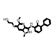 COc1nc2c(Nc3cccc(-c4ccccc4)c3Cl)[nH]n(C)c-2cc1=NCCO